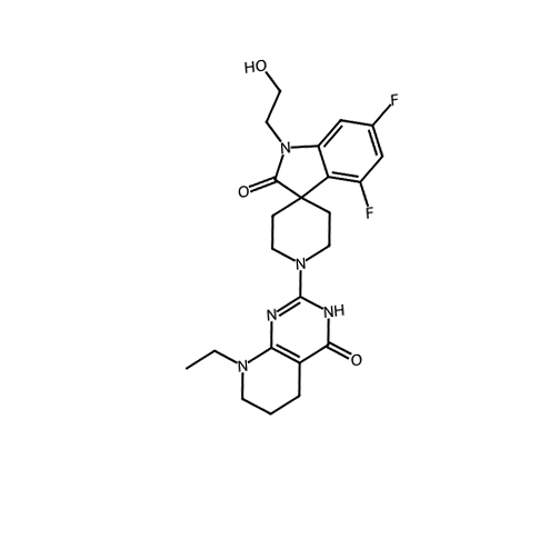 CCN1CCCc2c1nc(N1CCC3(CC1)C(=O)N(CCO)c1cc(F)cc(F)c13)[nH]c2=O